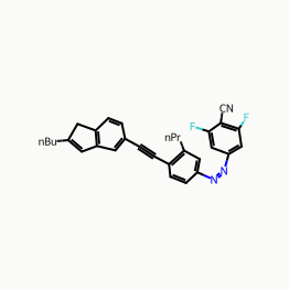 CCCCC1=Cc2cc(C#Cc3ccc(/N=N\c4cc(F)c(C#N)c(F)c4)cc3CCC)ccc2C1